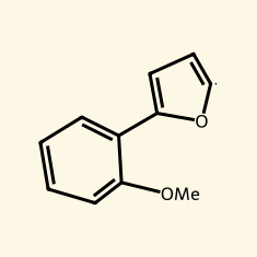 COc1ccccc1-c1cc[c]o1